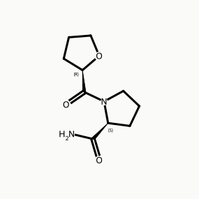 NC(=O)[C@@H]1CCCN1C(=O)[C@H]1CCCO1